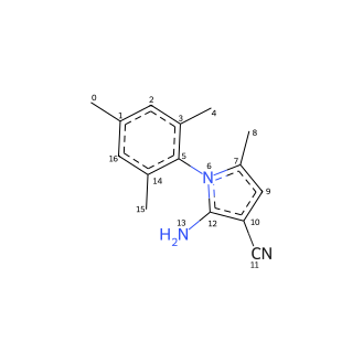 Cc1cc(C)c(-n2c(C)cc(C#N)c2N)c(C)c1